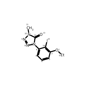 CCOc1cccc(-n2nnn(C)c2=O)c1I